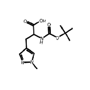 Cn1cc(CC(NC(=O)OC(C)(C)C)C(=O)O)cn1